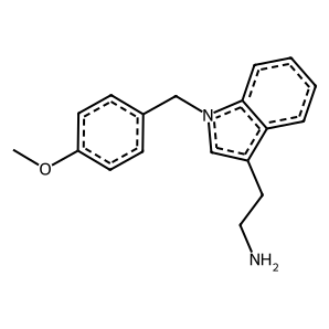 COc1ccc(Cn2cc(CCN)c3ccccc32)cc1